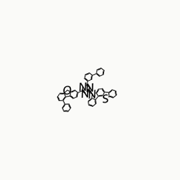 c1ccc(-c2cccc(-c3nc(-c4ccc5c(c4)oc4cccc(-c6ccccc6)c45)nc(-n4c5ccccc5c5c6sc7ccccc7c6ccc54)n3)c2)cc1